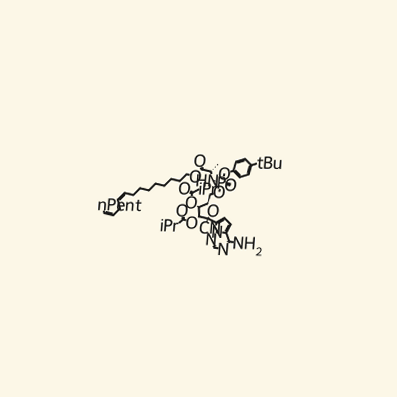 CCCCC/C=C\C/C=C\CCCCCCCCOC(=O)[C@H](C)N[P@](=O)(OC[C@H]1O[C@@](C#N)(c2ccc3c(N)ncnn23)[C@H](OC(=O)C(C)C)[C@@H]1OC(=O)C(C)C)Oc1ccc(C(C)(C)C)cc1